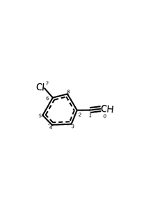 C#Cc1c[c]cc(Cl)c1